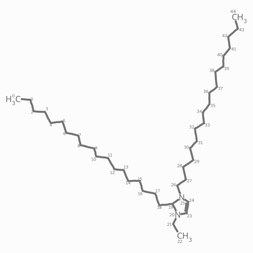 CCCCCCCCCCCCCCCCCCCC1N(CC)C=CN1CCCCCCCCCCCCCCCCCCC